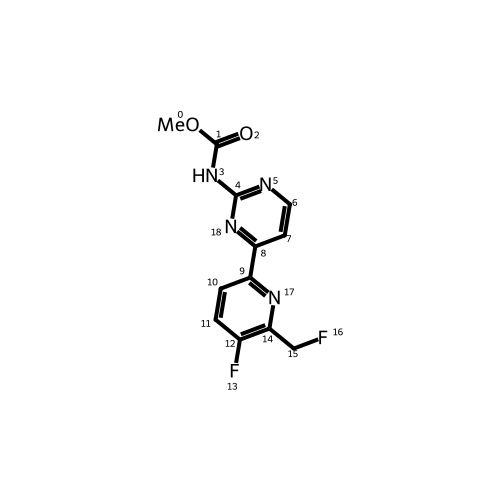 COC(=O)Nc1nccc(-c2ccc(F)c(CF)n2)n1